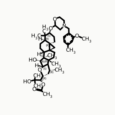 COc1cc(C)ccc1CN1CCOC(O[C@H]2CC[C@]34C[C@]35CC[C@]3(C)C6[C@H](C)C[C@H]([C@H](OC(C)=O)C(C)(C)O)O[C@@H]6[C@H](O)[C@@]3(C)[C@@H]5CC[C@H]4C2(C)C)C1